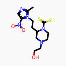 Cc1ncc([N+](=O)[O-])n1CCC1CN(CCO)CCN1C(=S)S